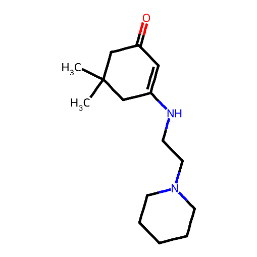 CC1(C)CC(=O)C=C(NCCN2CCCCC2)C1